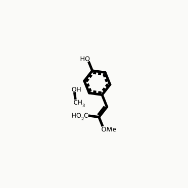 CO.COC(=Cc1ccc(O)cc1)C(=O)O